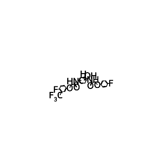 O=C(COc1ccc(F)c(C(F)(F)F)c1)NC12CCC(NC(=O)COc3ccc(F)cc3)(CC1)[C@@H](O)C2